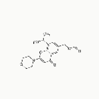 CC(O)c1cc(COC=O)cc2c(=O)cc(N3CCOCC3)oc12